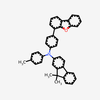 Cc1ccc(N(c2ccc(-c3cccc4c3oc3ccccc34)cc2)c2ccc3c(c2)C(C)(C)c2ccccc2-3)cc1